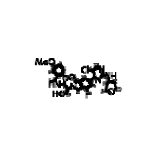 COc1cccc(C(C)NC(=O)C(CO)N2Cc3c(F)cc(-c4nc(NC5CCOCC5)ncc4Cl)cc3C2=O)c1